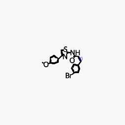 COc1ccc(-c2csc(NC(=O)/C=C\c3ccc(Br)cc3)n2)cc1